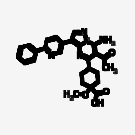 COC1(C(=O)O)CCC(c2nc3c(-c4ccc(-c5ccccc5)nc4)cnn3c(N)c2C(C)=O)CC1